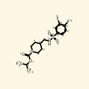 O=C(OC(C(F)(F)F)C(F)(F)F)N1CCC(CNS(=O)(=O)c2ccc(F)c(F)c2)CC1